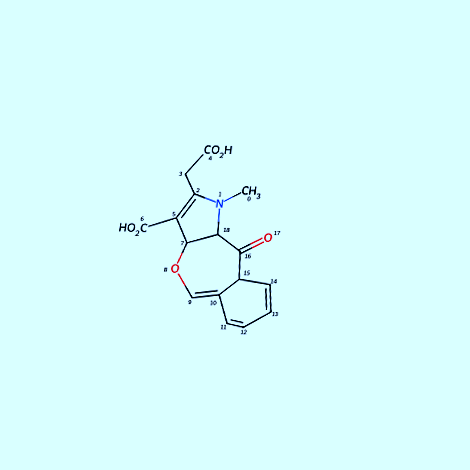 CN1C(CC(=O)O)=C(C(=O)O)C2OC=C3C=CC=CC3C(=O)C21